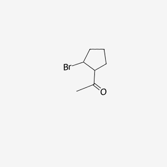 CC(=O)C1CCCC1Br